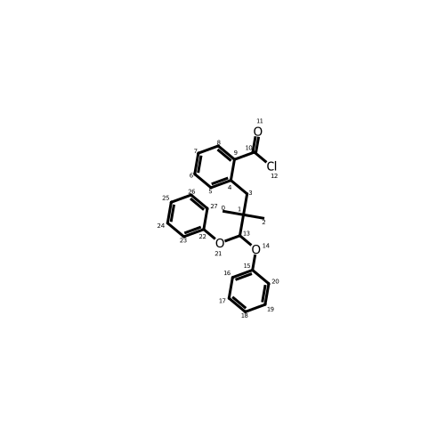 CC(C)(Cc1ccccc1C(=O)Cl)C(Oc1ccccc1)Oc1ccccc1